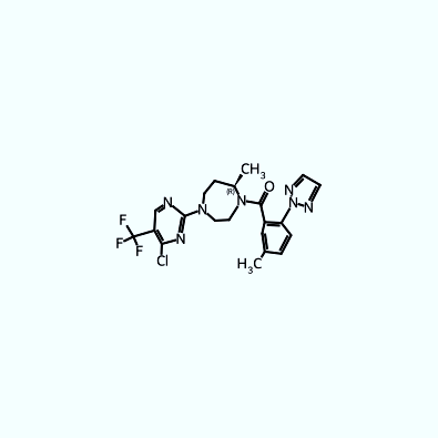 Cc1ccc(-n2nccn2)c(C(=O)N2CCN(c3ncc(C(F)(F)F)c(Cl)n3)CC[C@H]2C)c1